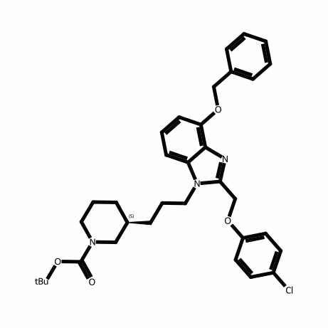 CC(C)(C)OC(=O)N1CCC[C@@H](CCCn2c(COc3ccc(Cl)cc3)nc3c(OCc4ccccc4)cccc32)C1